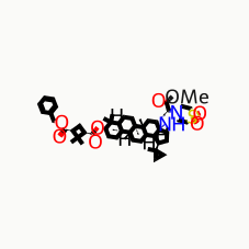 COC(=O)[C@@H](CN[C@]12CC[C@@H](C3(C)CC3)[C@@H]1[C@H]1CC[C@@H]3[C@@]4(C)CC[C@H](OC(=O)[C@H]5C[C@@H](C(=O)OCc6ccccc6)C5(C)C)C(C)(C)[C@@H]4CC[C@@]3(C)[C@]1(C)CC2)N1CCS(=O)(=O)CC1